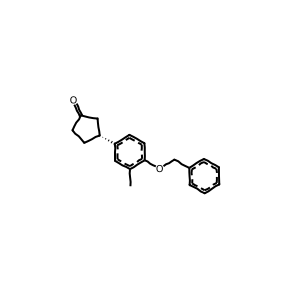 Cc1cc([C@@H]2CCC(=O)C2)ccc1OCc1ccccc1